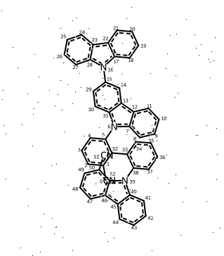 N#Cc1cccc(-n2c3ccccc3c3cc(-n4c5ccccc5c5ccccc54)ccc32)c1-c1ccccc1-n1c2ccccc2c2cccc(C#N)c21